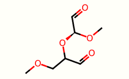 COCC(C=O)O[C@@H](C=O)OC